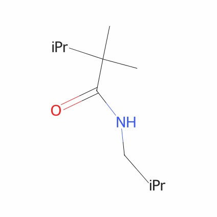 CC(C)CNC(=O)C(C)(C)C(C)C